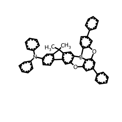 CC1(C)c2cc(N(c3ccccc3)c3ccccc3)ccc2-c2cc3c(cc21)B1c2ccc(-c4ccccc4)cc2Oc2cc(-c4ccccc4)cc(c21)O3